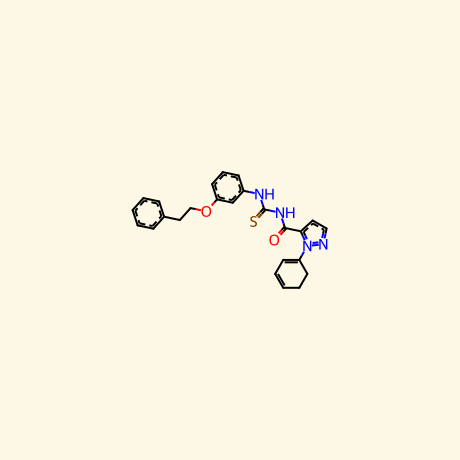 O=C(NC(=S)Nc1cccc(OCCc2ccccc2)c1)c1ccnn1C1=CC=CCC1